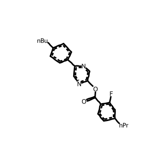 CCCCc1ccc(-c2cnc(OC(=O)c3ccc(CCC)cc3F)cn2)cc1